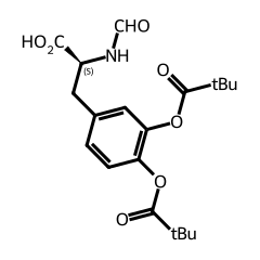 CC(C)(C)C(=O)Oc1ccc(C[C@H](NC=O)C(=O)O)cc1OC(=O)C(C)(C)C